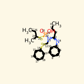 CCCC(=Nc1ccccc1)N(CSc1ccccc1)P(=O)(O)SC(C)CC